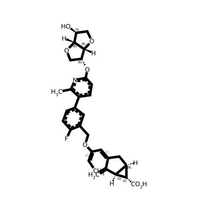 C=C1/C(=C\C(=C/C)OCc2cc(-c3ccc(O[C@@H]4CO[C@H]5[C@@H]4OC[C@@H]5O)nc3C)ccc2F)C[C@@H]2[C@H]1[C@H]2C(=O)O